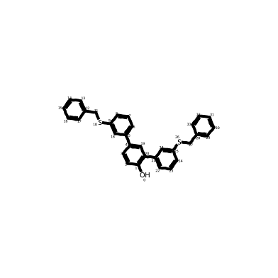 Oc1ccc(-c2cccc(SCc3ccccc3)c2)cc1-c1cccc(SCc2ccccc2)c1